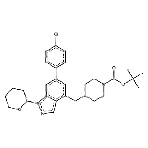 CC(C)(C)OC(=O)N1CCC(Cc2cc(-c3ccc(O)cc3)cc3c2cnn3C2CCCCO2)CC1